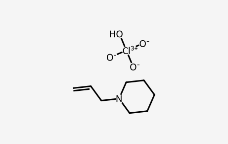 C=CCN1CCCCC1.[O-][Cl+3]([O-])([O-])O